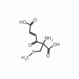 CSCC(N)(C(=O)O)C(=O)C=CC(=O)O